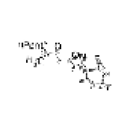 CCCCCN(C)C(=O)CC1CC(c2ccc(F)cc2F)=NO1